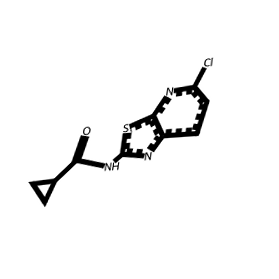 O=C(Nc1nc2ccc(Cl)nc2s1)C1CC1